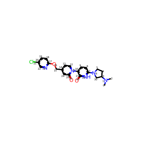 CN(C)C1CCN(c2ccc(-n3ccc(COc4ccc(Cl)cn4)cc3=O)c(=O)[nH]2)C1